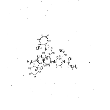 C=CC(=O)N1CCN(c2nc(OC3(CN(C)C)CCCCC3)nc3c2CCN(c2ccccc2Cl)C3)C[C@@H]1CC#N